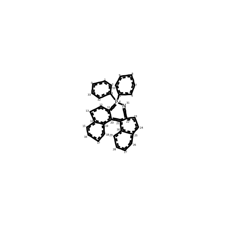 c1ccc(P2(c3ccccc3)=c3ccc4ccccc4c3=c3c(ccc4ccccc34)=N2)cc1